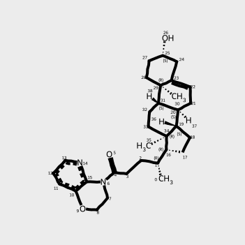 C[C@H](CCC(=O)N1CCOc2cccnc21)[C@H]1CC[C@H]2[C@@H]3CC=C4C[C@@H](O)CC[C@]4(C)[C@H]3CC[C@]12C